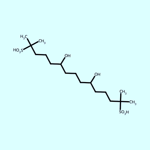 CC(C)(CCCC(O)CCCC(O)CCCC(C)(C)S(=O)(=O)O)S(=O)(=O)O